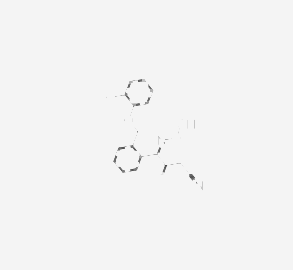 CON=C(C(=O)CC#N)c1ccccc1COc1ccccc1C